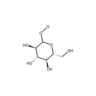 [O]OC1O[C@H](CO)[C@@H](O)[C@H](O)[C@H]1O